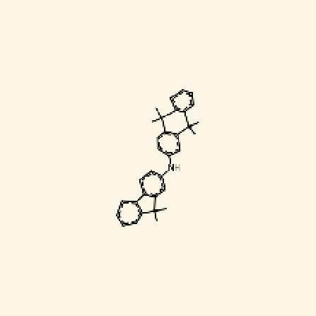 CC1(C)c2ccccc2-c2ccc(Nc3ccc4c(c3)C(C)(C)c3ccccc3C4(C)C)cc21